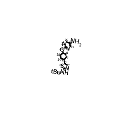 CC(C)(C)Nc1ncc(-c2ccc(Oc3ncc(N)cn3)cc2)s1